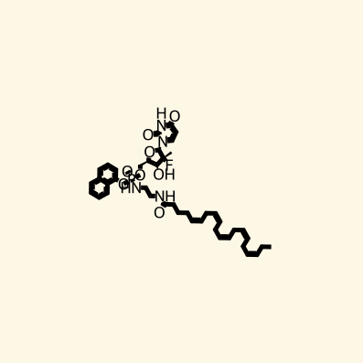 CC/C=C\C/C=C\C/C=C\C/C=C\C/C=C\CCCC(=O)NCCNP(=O)(OC[C@H]1O[C@@H](n2ccc(=O)[nH]c2=O)[C@](C)(F)[C@@H]1O)Oc1cccc2ccccc12